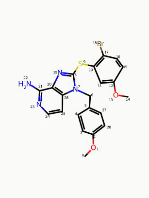 COc1ccc(Cn2c(Sc3cc(OC)ccc3Br)nc3c(N)nccc32)cc1